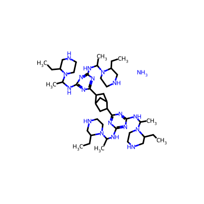 CCC1CNCCN1C(C)Nc1nc(NC(C)N2CCNCC2CC)nc(C2CC3CC2CC3c2nc(NC(C)N3CCNCC3CC)nc(NC(C)N3CCNCC3CC)n2)n1.N